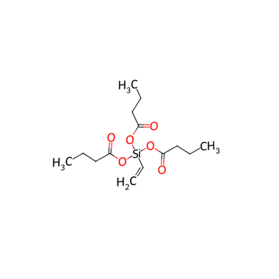 C=C[Si](OC(=O)CCC)(OC(=O)CCC)OC(=O)CCC